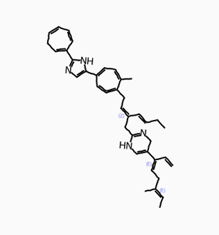 C=C/C(=C\C/C(C)=C/C)C1=CNC(C/C(C=CCC)=C/CC2=C=CC(c3cnc(C4=CCC=CC=C4)[nH]3)=CC=C2C)=NC1